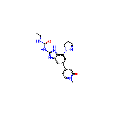 CCNC(=O)Nc1nc2cc(-c3ccn(C)c(=O)c3)cc(N3CCC=N3)c2[nH]1